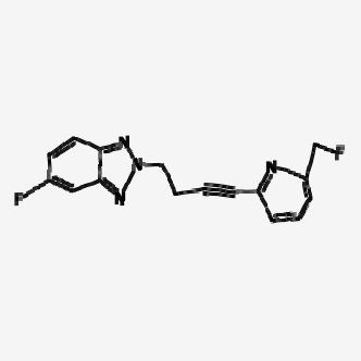 FCc1cccc(C#CCCn2nc3ccc(F)cc3n2)n1